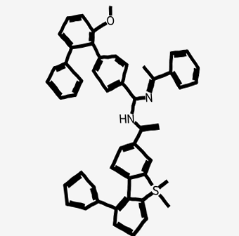 C=C(NC(/N=C(\C)c1ccccc1)c1ccc(-c2c(OC)cccc2-c2ccccc2)cc1)c1ccc2c(c1)S(C)(C)c1cccc(-c3ccccc3)c1-2